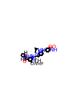 COc1cc(C(=O)N2C[C@H]3CC[C@@H]2[C@@H]3N)cc2nc(-c3cc4ccc(Nc5ccc6[nH]c(=O)oc6c5)nc4n3CC3CC3)n(C)c12